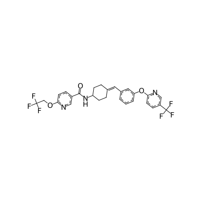 O=C(NC1CCC(=Cc2cccc(Oc3ccc(C(F)(F)F)cn3)c2)CC1)c1ccc(OCC(F)(F)F)nc1